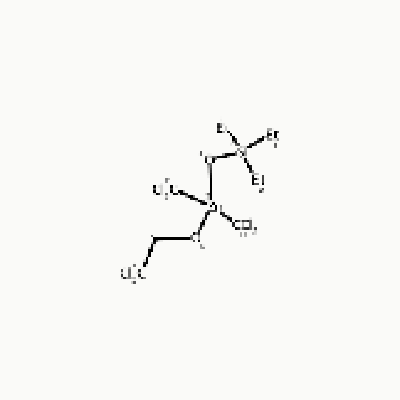 CC[Si](CC)(CC)[O][Zn]([O]CC(Cl)(Cl)Cl)([C](Cl)(Cl)Cl)[C](Cl)(Cl)Cl